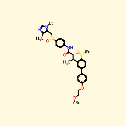 CCCCOCCOc1ccc(-c2ccc([S+]([O-])C(C)C)c(C(C)CC(=O)Nc3ccc([S@@+]([O-])Cc4c(C)ncn4CC)cc3)c2)cc1